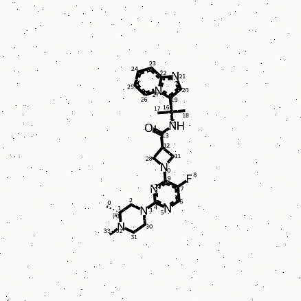 C[C@@H]1CN(c2ncc(F)c(N3CC(C(=O)NC(C)(C)c4cnc5ccccn45)C3)n2)CCN1C